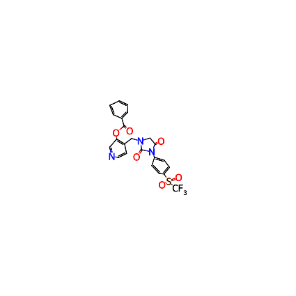 O=C(Oc1cnccc1CN1CC(=O)N(c2ccc(S(=O)(=O)C(F)(F)F)cc2)C1=O)c1ccccc1